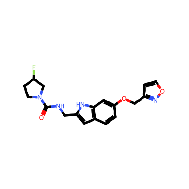 O=C(NCc1cc2ccc(OCc3ccon3)cc2[nH]1)N1CCC(F)C1